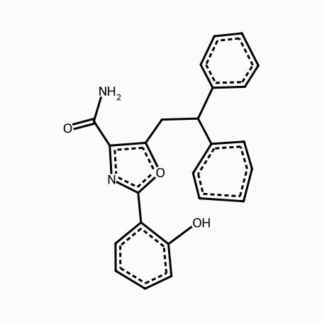 NC(=O)c1nc(-c2ccccc2O)oc1CC(c1ccccc1)c1ccccc1